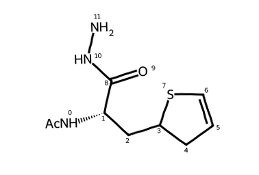 CC(=O)N[C@@H](CC1CC=CS1)C(=O)NN